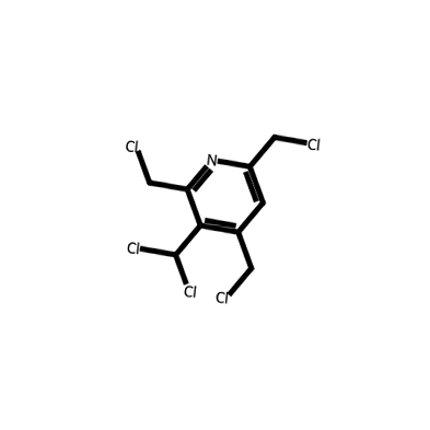 ClCc1cc(CCl)c(C(Cl)Cl)c(CCl)n1